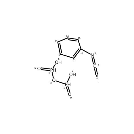 O=[PH](O)O[PH](=O)O.S=C=Nc1ccccc1